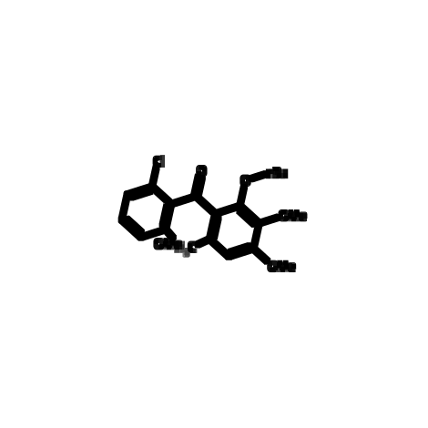 CCCCOc1c(OC)c(OC)cc(C)c1C(=O)c1c(Cl)cccc1OC